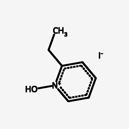 CCc1cccc[n+]1O.[I-]